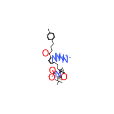 COC(=O)N1[C@@H](C(C)(C)C)OC[C@@]1(C)CCc1ccc(C(=O)CCCc2ccc(C)cc2)n1N=[N+]=[N-]